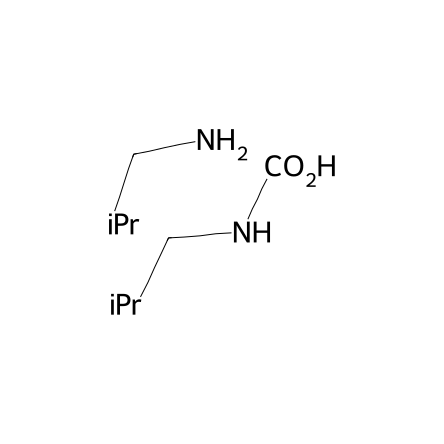 CC(C)CN.CC(C)CNC(=O)O